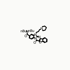 CCCCN(CCCC)C(=O)c1ccc2c(c1)n(CCCN1CCCCC1)c1nc3c(oc4ccccc43)c(=O)n21